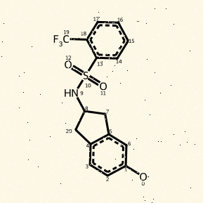 [O]c1ccc2c(c1)CC(NS(=O)(=O)c1ccccc1C(F)(F)F)C2